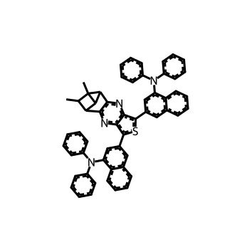 CC1C2c3nc4c(-c5cc(N(c6ccccc6)c6ccccc6)c6ccccc6c5)sc(-c5cc(N(c6ccccc6)c6ccccc6)c6ccccc6c5)c4nc3C3C2C13C